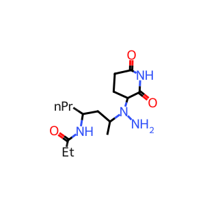 CCCC(CC(C)N(N)C1CCC(=O)NC1=O)NC(=O)CC